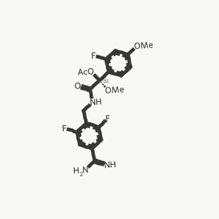 COc1ccc([C@](OC)(OC(C)=O)C(=O)NCc2c(F)cc(C(=N)N)cc2F)c(F)c1